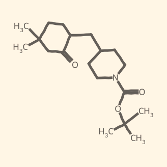 CC1(C)CCC(CC2CCN(C(=O)OC(C)(C)C)CC2)C(=O)C1